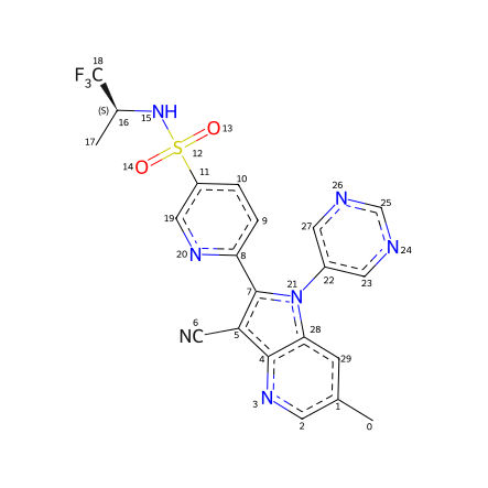 Cc1cnc2c(C#N)c(-c3ccc(S(=O)(=O)N[C@@H](C)C(F)(F)F)cn3)n(-c3cncnc3)c2c1